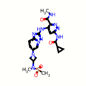 CNC(=O)c1nnc(NC(=O)C2CC2)cc1Nc1nc2ccc(N3CC(N(C)S(C)(=O)=O)C3)cn2n1